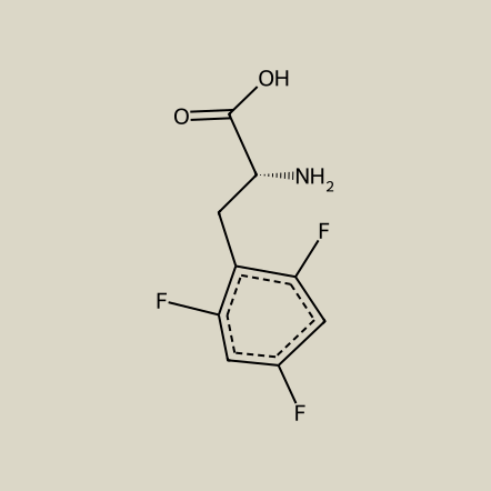 N[C@H](Cc1c(F)cc(F)cc1F)C(=O)O